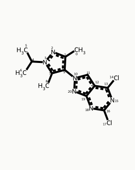 Cc1nn(C(C)C)c(C)c1-n1cc2c(Cl)nc(Cl)nc2n1